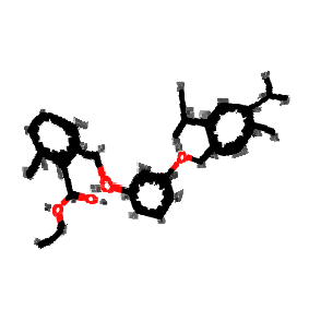 CCOC(=O)c1c(C)cccc1COc1cccc(OCc2cc(C)c(C(C)C)cc2C(C)C)c1